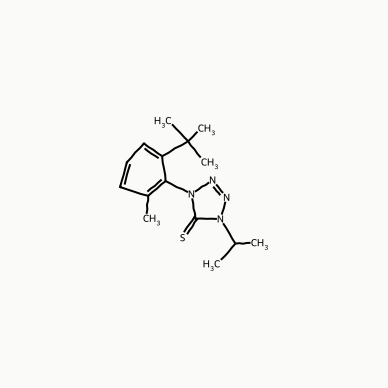 Cc1cccc(C(C)(C)C)c1-n1nnn(C(C)C)c1=S